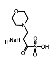 O=C(CCN1CCOCC1)S(=O)(=O)O.[H+].[NaH]